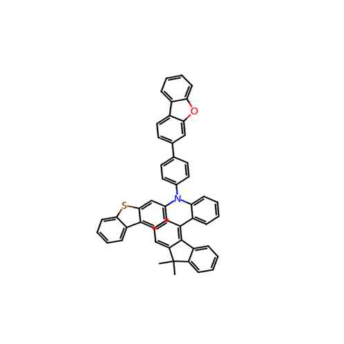 CC1(C)c2ccccc2-c2c(-c3ccccc3N(c3ccc(-c4ccc5c(c4)oc4ccccc45)cc3)c3ccc4c(c3)sc3ccccc34)cccc21